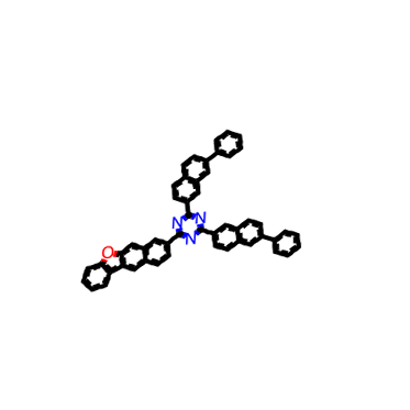 c1ccc(-c2ccc3cc(-c4nc(-c5ccc6ccc(-c7ccccc7)cc6c5)nc(-c5ccc6cc7c(cc6c5)oc5ccccc57)n4)ccc3c2)cc1